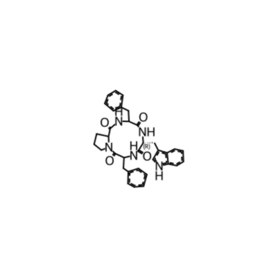 O=C1N[C@H](Cc2c[nH]c3ccccc23)C(=O)NC(Cc2ccccc2)C(=O)N2CCCC2C(=O)NC1Cc1ccccc1